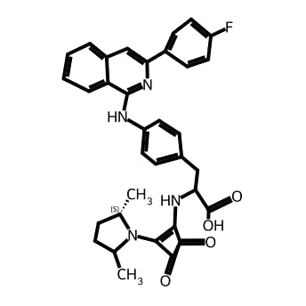 CC1CC[C@H](C)N1c1c(NC(Cc2ccc(Nc3nc(-c4ccc(F)cc4)cc4ccccc34)cc2)C(=O)O)c(=O)c1=O